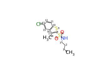 CCCCNS(=O)(=O)c1sc2ccc(Cl)cc2c1C